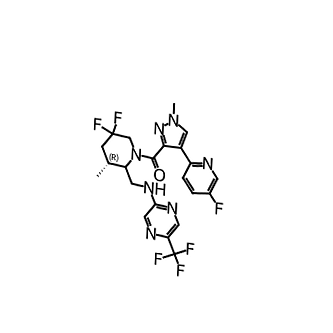 C[C@@H]1CC(F)(F)CN(C(=O)c2nn(C)cc2-c2ccc(F)cn2)C1CNc1cnc(C(F)(F)F)cn1